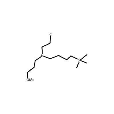 COCCCN(CCCl)CCCC[Si](C)(C)C